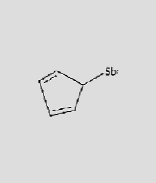 [Sb][CH]1C=CC=C1